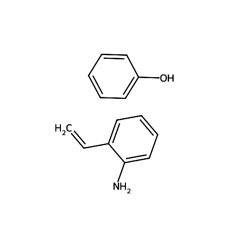 C=Cc1ccccc1N.Oc1ccccc1